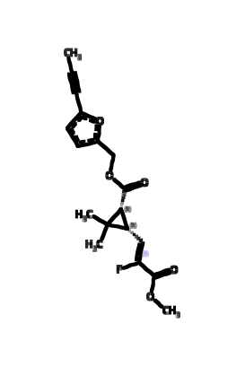 CC#Cc1ccc(COC(=O)[C@@H]2[C@H](/C=C(\F)C(=O)OC)C2(C)C)o1